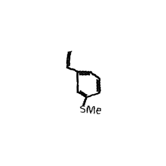 [CH]=Cc1cccc(SC)c1